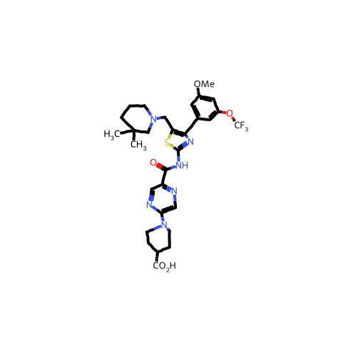 COc1cc(OC(F)(F)F)cc(-c2nc(NC(=O)c3cnc(N4CCC(C(=O)O)CC4)cn3)sc2CN2CCCC(C)(C)C2)c1